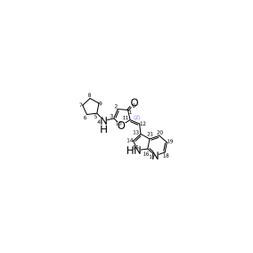 O=C1C=C(NC2CCCC2)O/C1=C\c1c[nH]c2ncccc12